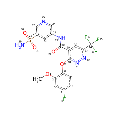 COc1cc(F)ccc1Oc1nnc(C(F)(F)F)cc1C(=O)Nc1cncc(S(N)(=O)=O)c1